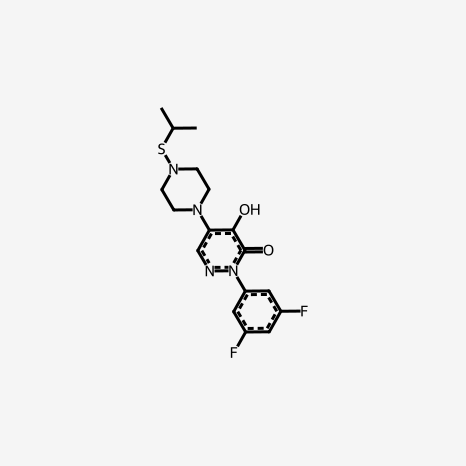 CC(C)SN1CCN(c2cnn(-c3cc(F)cc(F)c3)c(=O)c2O)CC1